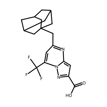 O=C(O)c1cc2nc(CC34CC5CC(CC(C5)C3)C4)cc(C(F)(F)F)n2n1